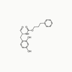 O=[C]C(Cc1ccc(O)cc1O)NC(=O)OCCCc1ccccc1